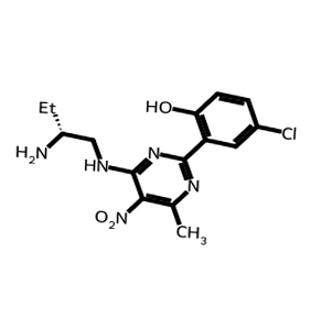 CC[C@@H](N)CNc1nc(-c2cc(Cl)ccc2O)nc(C)c1[N+](=O)[O-]